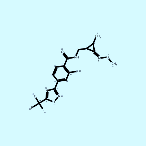 CO/N=C1\C(C)C1CNC(=O)c1ccc(-c2noc(C(F)(F)F)n2)cc1F